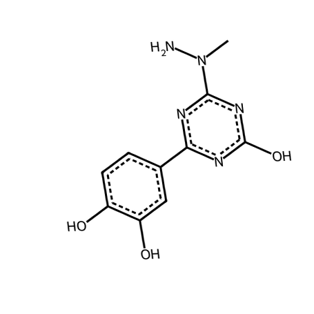 CN(N)c1nc(O)nc(-c2ccc(O)c(O)c2)n1